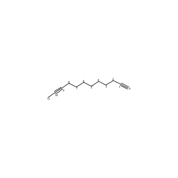 C#CCCC[CH]CCCC#CC